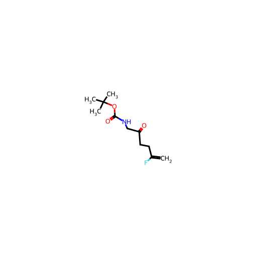 C=C(F)CCC(=O)CNC(=O)OC(C)(C)C